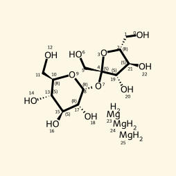 OC[C@H]1O[C@@](CO)(O[C@H]2O[C@H](CO)[C@@H](O)[C@H](O)[C@H]2O)[C@@H](O)[C@@H]1O.[MgH2].[MgH2].[MgH2]